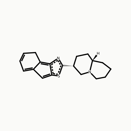 C1=CCC2=c3nc([C@@H]4CC[C@@H]5CCCCN5C4)sc3=CC2=C1